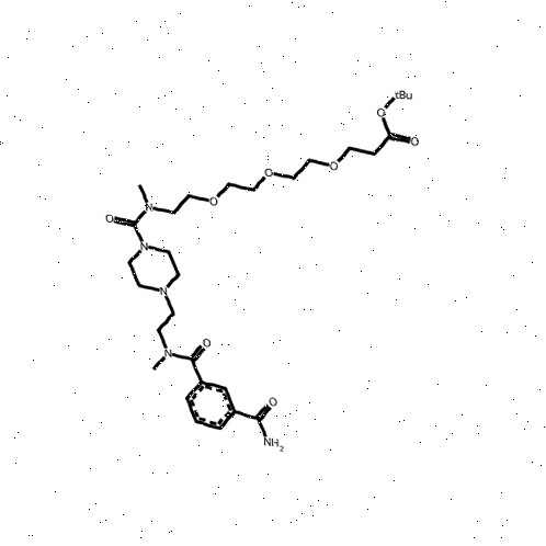 CN(CCN1CCN(C(=O)N(C)CCOCCOCCOCCC(=O)OC(C)(C)C)CC1)C(=O)c1cccc(C(N)=O)c1